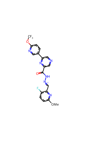 COc1ccc(F)c(/C=N/NC(=O)c2cncc(-c3ccc(OC(F)(F)F)nc3)n2)n1